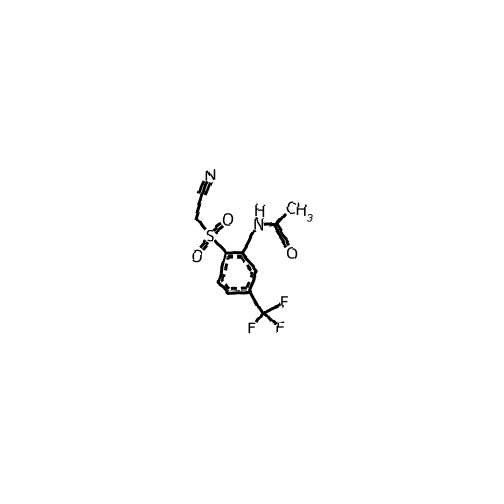 CC(=O)Nc1cc(C(F)(F)F)ccc1S(=O)(=O)CC#N